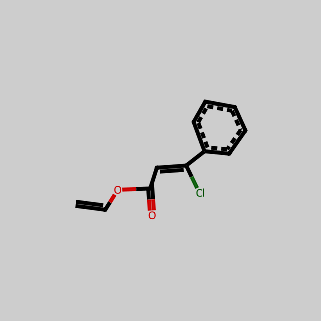 C=COC(=O)C=C(Cl)c1ccccc1